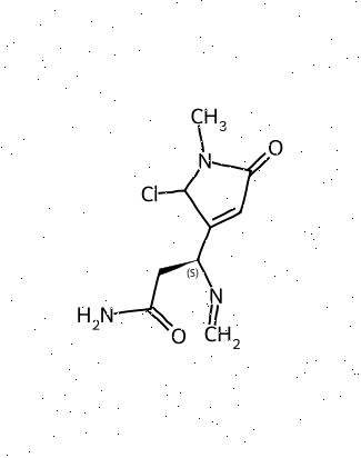 C=N[C@@H](CC(N)=O)C1=CC(=O)N(C)C1Cl